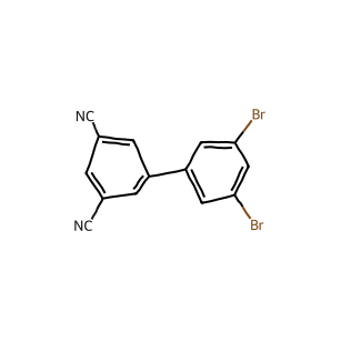 N#Cc1cc(C#N)cc(-c2cc(Br)cc(Br)c2)c1